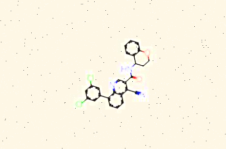 N#Cc1c(C(=O)NC2CCOc3ccccc32)cnc2c(-c3cc(Cl)cc(Cl)c3)cccc12